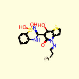 CC(C)CC=Nn1c(=O)c(C2=NS(O)(O)c3ccccc3N2)c(O)c2sccc21